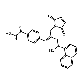 O=C(NO)c1ccc(C=C(CC(O)c2cccc3ccccc23)CN2C(=O)C=CC2=O)cc1